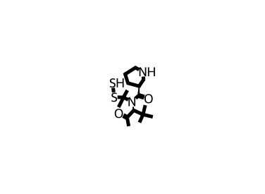 CC(=O)[C@H](N(C(=O)[C@H]1CCCNC1)C(C)(C)SS)C(C)(C)C